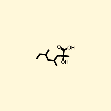 CCC(C)CC(C)CC(C)(O)C(=O)O